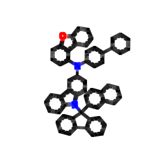 c1ccc(-c2ccc(N(c3ccc4c(c3)c3ccccc3n4C3(c4ccc5ccccc5c4)c4ccccc4-c4ccccc43)c3cccc4oc5ccccc5c34)cc2)cc1